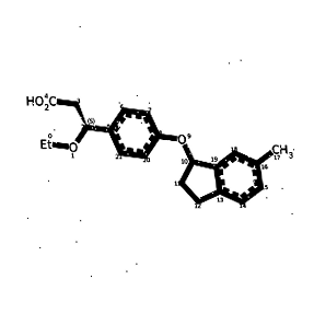 CCO[C@@H](CC(=O)O)c1ccc(OC2CCc3ccc(C)cc32)cc1